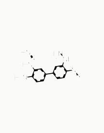 N=NNc1cc(-c2ccc(NN)c(NN)c2)ccc1N